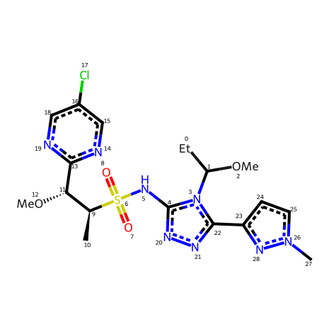 CCC(OC)n1c(NS(=O)(=O)[C@@H](C)[C@H](OC)c2ncc(Cl)cn2)nnc1-c1ccn(C)n1